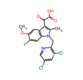 COc1cc2c(C(=O)C(=O)O)c(C)n(Cc3ncc(Cl)cc3Cl)c2cc1F